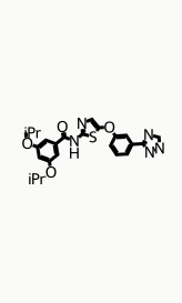 CC(C)Oc1cc(OC(C)C)cc(C(=O)Nc2ncc(Oc3cccc(C4=NCN=N4)c3)s2)c1